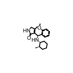 COc1ccccc1[C@@H](N[C@@H]1CCCC[C@H]1C)C1=C(C)CNC1=O